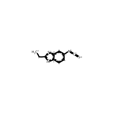 CCc1nc2ccc(N=C=S)cc2s1